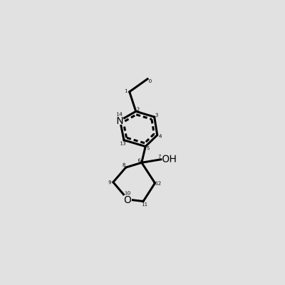 CCc1ccc(C2(O)CCOCC2)cn1